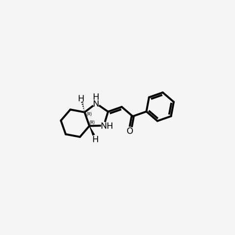 O=C(C=C1N[C@@H]2CCCC[C@H]2N1)c1ccccc1